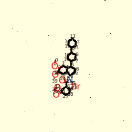 COc1cc2c(-c3ccc(-c4ccccc4)cc3)ccc(N(C)C(=O)c3c(Br)ccc4c3OCO4)c2cc1OC